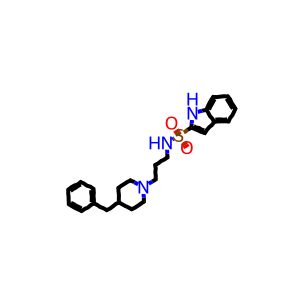 O=S(=O)(NCCCN1CCC(Cc2ccccc2)CC1)c1cc2ccccc2[nH]1